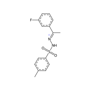 C/C(=N\NS(=O)(=O)c1ccc(C)cc1)c1cccc(F)c1